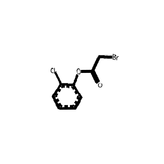 O=C(CBr)Oc1ccccc1Cl